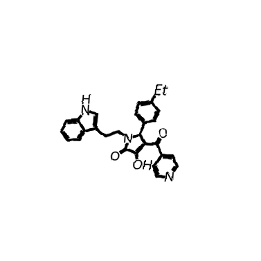 CCc1ccc(C2C(C(=O)c3ccncc3)=C(O)C(=O)N2CCc2c[nH]c3ccccc23)cc1